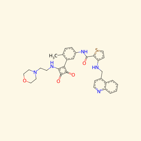 Cc1ccc(NC(=O)c2sccc2NCc2ccnc3ccccc23)cc1-c1c(NCCN2CCOCC2)c(=O)c1=O